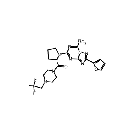 CC(F)(F)CN1CCN(C(=O)[C@@H]2CCCN2c2nc(N)n3nc(-c4ccco4)nc3n2)CC1